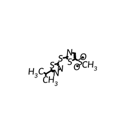 CC(C)c1nnc(Sc2ncc(S(C)(=O)=O)s2)s1